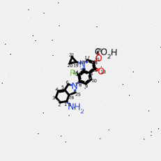 NC1CCC=C2CN(c3ccc4c(=O)c(OC(=O)O)cn(C5CC5)c4c3F)CC21